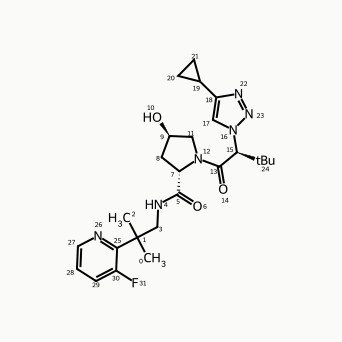 CC(C)(CNC(=O)[C@@H]1C[C@@H](O)CN1C(=O)[C@@H](n1cc(C2CC2)nn1)C(C)(C)C)c1ncccc1F